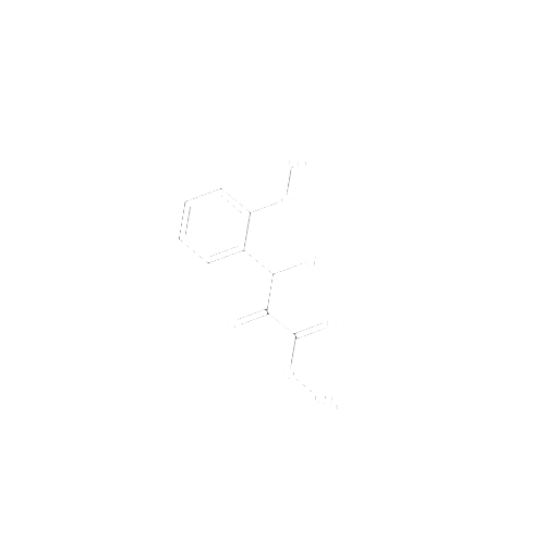 COC(=O)C(=O)C(Cl)c1ccccc1OC